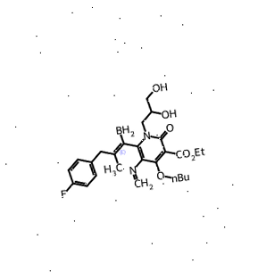 B/C(=C(/C)Cc1ccc(F)cc1)c1c(N=C)c(OCCCC)c(C(=O)OCC)c(=O)n1CC(O)CO